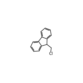 ClCC1c2ccccc2-c2ccccc21